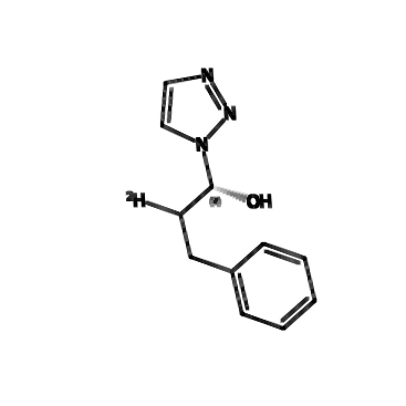 [2H]C(Cc1ccccc1)[C@@H](O)n1ccnn1